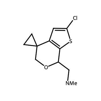 CNCC1OCC2(CC2)c2cc(Cl)sc21